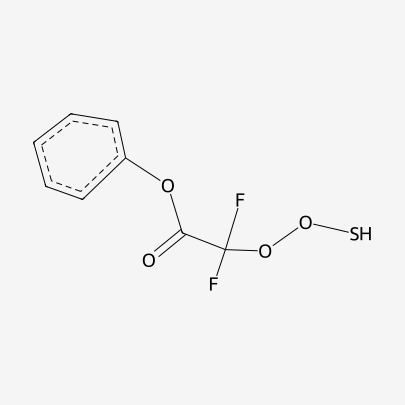 O=C(Oc1ccccc1)C(F)(F)OOS